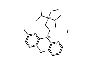 CC[N+](CC[C@H](c1ccccc1)c1cc(C)ccc1O)(C(C)C)C(C)C.[I-]